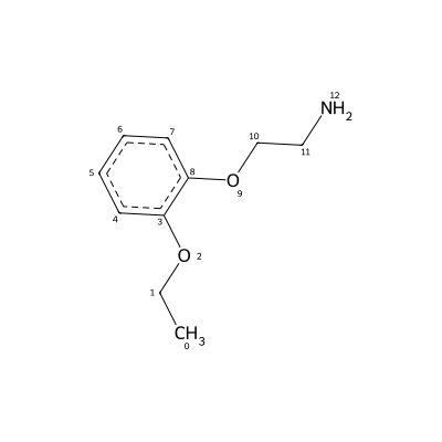 CCOc1ccccc1OCCN